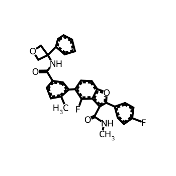 CNC(=O)c1c(-c2ccc(F)cc2)oc2ccc(-c3cc(C(=O)NC4(c5ccccc5)COC4)ccc3C)c(F)c12